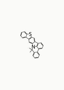 CC1(C)c2ccccc2-c2cccc3c4cc5sc6ccccc6c5cc4n1c23